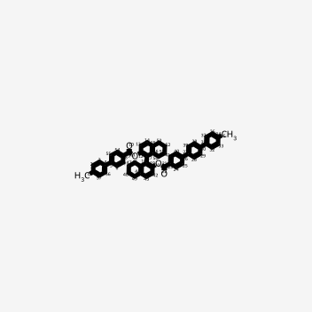 Cc1ccc(-c2ccc(C(=O)Oc3ccc4c(c3-c3c(OC(=O)c5ccc(-c6ccc(-c7ccc(C)cc7)cc6)cc5)ccc5c3CCCC5)CCCC4)cc2)cc1